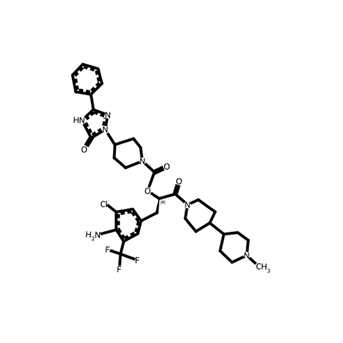 CN1CCC(C2CCN(C(=O)[C@@H](Cc3cc(Cl)c(N)c(C(F)(F)F)c3)OC(=O)N3CCC(n4nc(-c5ccccc5)[nH]c4=O)CC3)CC2)CC1